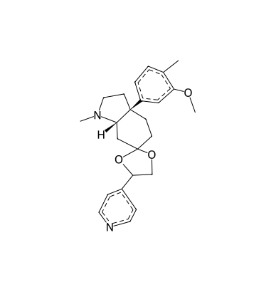 COc1cc([C@]23CCN(C)[C@H]2CC2(CC3)OCC(c3ccncc3)O2)ccc1C